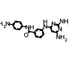 Nc1ccc(NC(=O)c2cccc(Nc3cc(N)nc(N)n3)c2)cc1